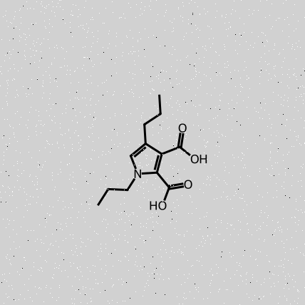 CCCc1cn(CCC)c(C(=O)O)c1C(=O)O